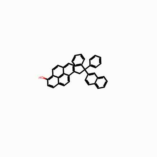 Oc1ccc2ccc3c(CC(c4ccccc4)(c4ccccc4)c4ccc5ccccc5c4)ccc4ccc1c2c43